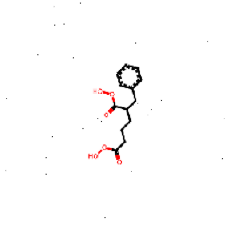 O=C(CCCC(Cc1ccccc1)C(=O)OO)OO